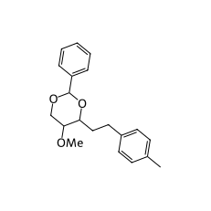 COC1COC(c2ccccc2)OC1CCc1ccc(C)cc1